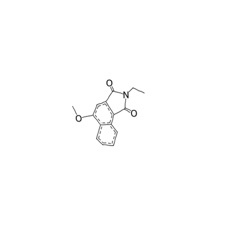 CCN1C(=O)c2cc(OC)c3ccccc3c2C1=O